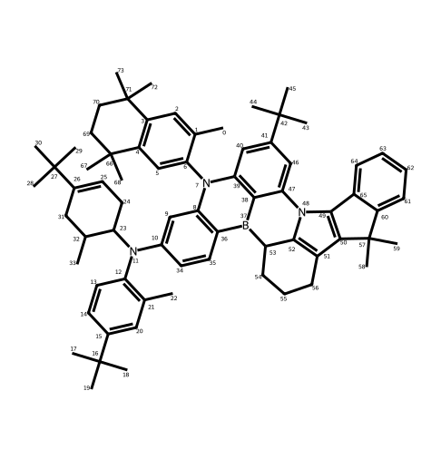 Cc1cc2c(cc1N1c3cc(N(c4ccc(C(C)(C)C)cc4C)C4CC=C(C(C)(C)C)CC4C)ccc3B3c4c1cc(C(C)(C)C)cc4-n1c4c(c5c1C3CCC5)C(C)(C)c1ccccc1-4)C(C)(C)CCC2(C)C